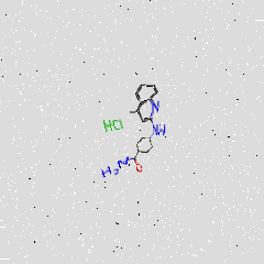 Cc1cc(NC2CCC(C(N)=O)CC2)nc2ccccc12.Cl